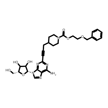 Nc1nc(C#CCC2CCN(C(=O)OCCOCc3ccccc3)CC2)nc2c1ncn2[C@@H]1O[C@H](CO)C(O)C1O